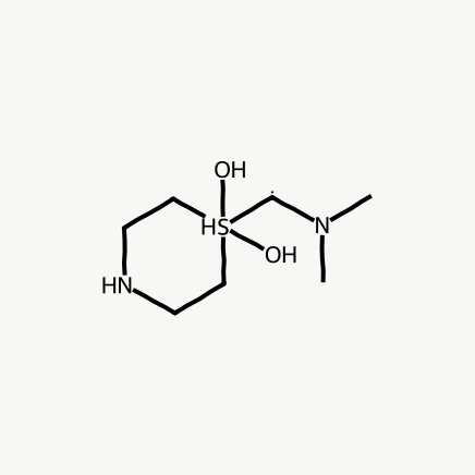 CN(C)[CH][SH]1(O)(O)CCNCC1